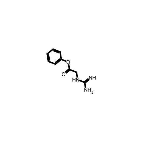 N=C(N)NCC(=O)Oc1ccccc1